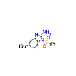 CC(C)S(=O)(=O)n1c(N)nc2cc(C(C)(C)C)ccc21